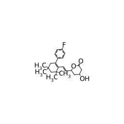 CC1(C)CC(c2ccc(F)cc2)=C(C=CC2CC(O)CC(=O)O2)C(C)(C)C1